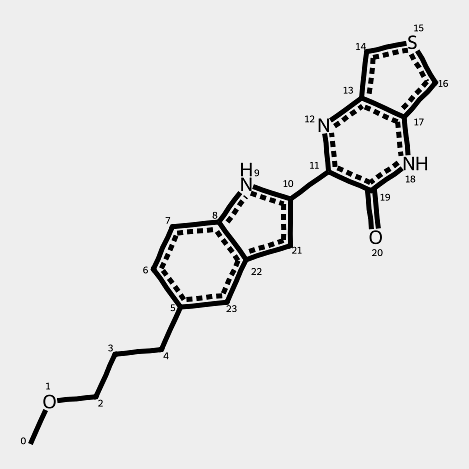 COCCCc1ccc2[nH]c(-c3nc4cscc4[nH]c3=O)cc2c1